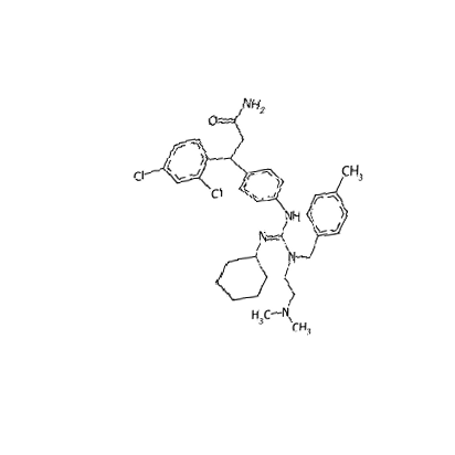 Cc1ccc(CN(CCN(C)C)/C(=N\C2CCCCC2)Nc2ccc(C(CC(N)=O)c3ccc(Cl)cc3Cl)cc2)cc1